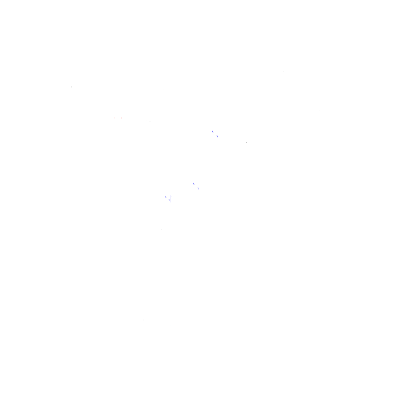 CCOC(=O)c1cn(-c2ccc(C(F)(F)F)cc2)nc1N(C(=O)C1CCC(C)CC1)C(C)C